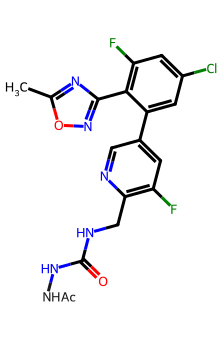 CC(=O)NNC(=O)NCc1ncc(-c2cc(Cl)cc(F)c2-c2noc(C)n2)cc1F